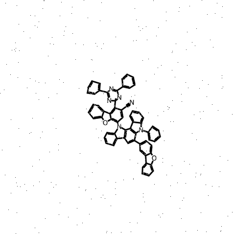 N#Cc1cc(-n2c3ccccc3c3cc(-c4ccc5oc6ccccc6c5c4)c4c(c5ccccc5n4-c4ccccc4)c32)c2oc3ccccc3c2c1-c1nc(-c2ccccc2)nc(-c2ccccc2)n1